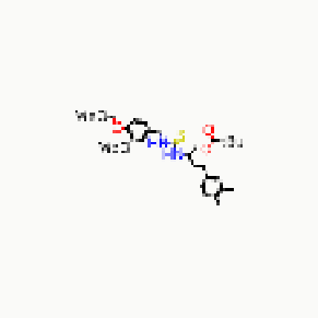 COCOc1ccc(CNC(=S)NC(CCc2ccc(C)c(C)c2)COC(=O)C(C)(C)C)cc1OC